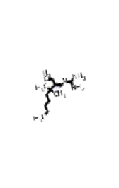 C=C/C(=C\N=C(N)N)C(C)(C)CCCCC